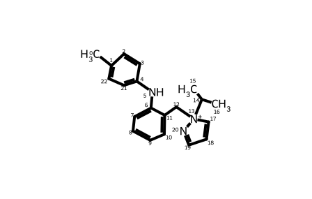 Cc1ccc(Nc2ccccc2C[N+]2(C(C)C)C=CC=N2)cc1